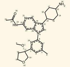 CO[C@@]1(c2cc(C)cc(-n3cc(C4CCC(N)CC4)c4cnc(NC(C)=O)cc43)n2)CCOC1